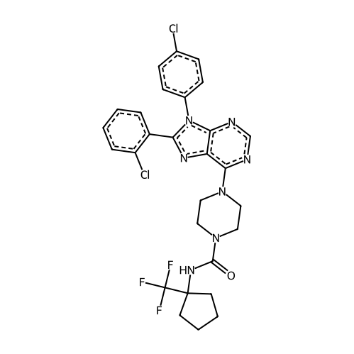 O=C(NC1(C(F)(F)F)CCCC1)N1CCN(c2ncnc3c2nc(-c2ccccc2Cl)n3-c2ccc(Cl)cc2)CC1